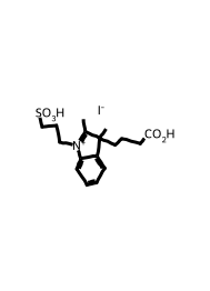 CC1=[N+](CCCS(=O)(=O)O)c2ccccc2C1(C)CCCC(=O)O.[I-]